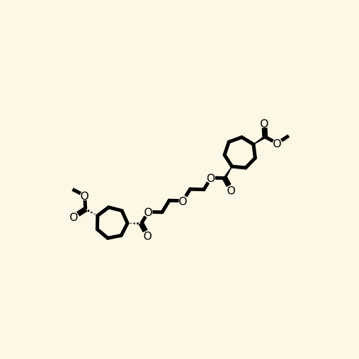 COC(=O)[C@@H]1CCC[C@H](C(=O)OCCOCCOC(=O)[C@@H]2CCC[C@H](C(=O)OC)CC2)CC1